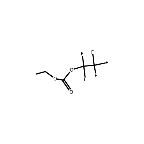 CCOC(=O)OC(F)(F)C(F)(F)F